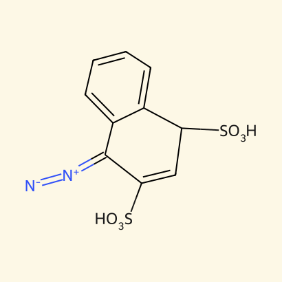 [N-]=[N+]=C1C(S(=O)(=O)O)=CC(S(=O)(=O)O)c2ccccc21